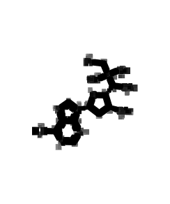 CC(=O)OC([C@H]1O[C@@H](n2cnc3c(N)ncnc32)C[C@@H]1OC(C)=O)[Si](CC(C)C)(C(C)(C)C)C(C)(C)C